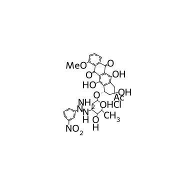 COc1cccc2c1C(=O)c1c(O)c3c(c(O)c1C2=O)C[C@@](O)(C(C)=O)C[C@@H]3OC1CC(NN(N)c2cccc([N+](=O)[O-])c2)C(O)C(C)O1.Cl